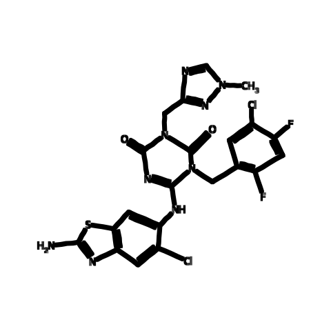 Cn1cnc(Cn2c(=O)nc(Nc3cc4sc(N)nc4cc3Cl)n(Cc3cc(Cl)c(F)cc3F)c2=O)n1